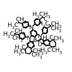 CC(C)c1ccc(N(c2ccc(C(C)C)cc2)c2cc3c4c(c2)N(c2ccc(C(C)(C)C)cc2)c2c(oc5cc6c(cc25)C(C)(C)CCC6(C)C)B4c2cc4c(cc2N3c2ccc(C(C)(C)C)cc2)C(C)(C)CCC4(C)C)cc1